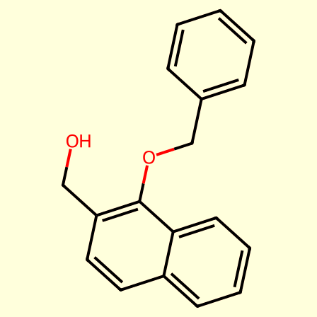 OCc1ccc2ccccc2c1OCc1ccccc1